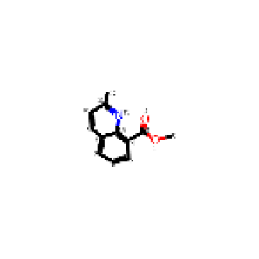 COC(=O)c1cccc2ccc(C)nc12